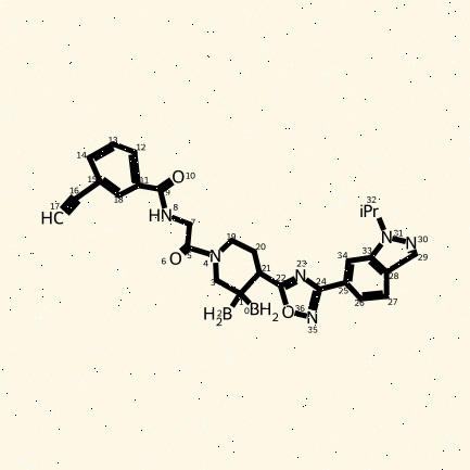 BC1(B)CN(C(=O)CNC(=O)c2cccc(C#C)c2)CCC1c1nc(-c2ccc3cnn(C(C)C)c3c2)no1